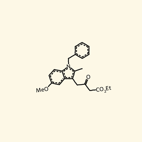 CCOC(=O)CC(=O)Cc1c(C)n(Cc2ccccc2)c2ccc(OC)cc12